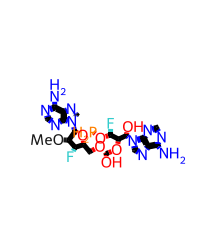 COC1C(F)C(COC(O)OC(C(F)OP)C(O)n2cnc3c(N)ncnc32)OC1n1cnc2c(N)ncnc21